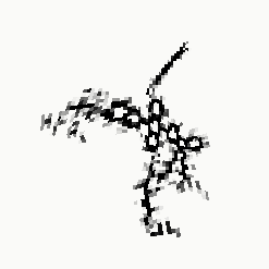 C#CC#CC#CC#COc1ccc2c(-c3ccc4c(c3)C(CCCCCC)(CCCCCC)c3ccccc3-4)c3cc(OCCCCCCCC)ccc3c(-c3ccc4cc(OC(=O)C(C)(C)CC)ccc4c3)c2c1